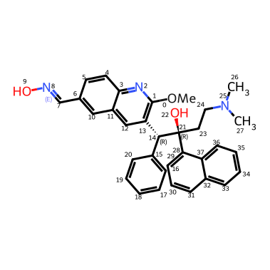 COc1nc2ccc(/C=N/O)cc2cc1[C@@H](c1ccccc1)[C@](O)(CCN(C)C)c1cccc2ccccc12